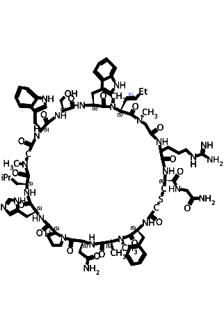 CC/C=C/[C@H]1C(=O)N(C)CC(=O)NC(CCCNC(=N)N)C(=O)N[C@H](C(=O)NCC(N)=O)CSCC(=O)N[C@@H](Cc2ccccc2)C(=O)N(C)[C@@H](C)C(=O)N[C@@H](CC(N)=O)C(=O)N2CCC[C@H]2C(=O)N[C@@H](Cc2cnc[nH]2)C(=O)N[C@@H](CC(C)C)C(=O)N(C)CC(=O)N[C@@H](Cc2c[nH]c3ccccc23)C(=O)N[C@@H](CO)C(=O)N[C@@H](Cc2c[nH]c3ccccc23)C(=O)N1C